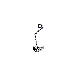 CC/C=C\CCCCCC/C=C\CCCCCCCCCCC(O)(C[N+](C)(C)C)P(=O)(O)O